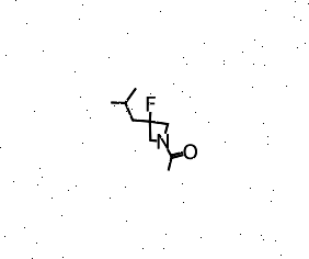 CC(=O)N1CC(F)(CC(C)C)C1